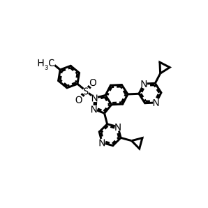 Cc1ccc(S(=O)(=O)n2nc(-c3cncc(C4CC4)n3)c3cc(-c4cncc(C5CC5)n4)ccc32)cc1